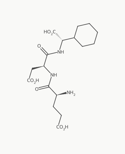 N[C@@H](CCC(=O)O)C(=O)N[C@@H](CC(=O)O)C(=O)N[C@H](C(=O)O)C1CCCCC1